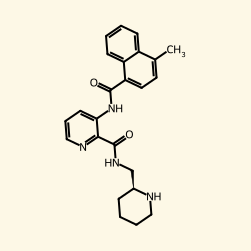 Cc1ccc(C(=O)Nc2cccnc2C(=O)NC[C@@H]2CCCCN2)c2ccccc12